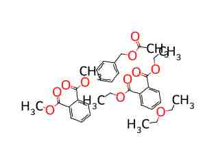 CC(=O)OCc1ccccc1.CCOC(=O)c1ccccc1C(=O)OCC.CCOCC.COC(=O)c1ccccc1C(=O)OC